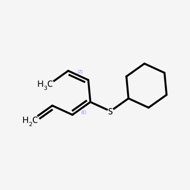 C=C/C=C(\C=C/C)SC1CCCCC1